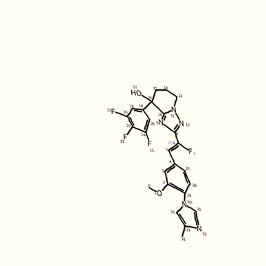 COc1cc(/C=C(\F)c2nc3n(n2)CCCC3(O)c2cc(F)c(F)c(F)c2)ccc1-n1cnc(C)c1